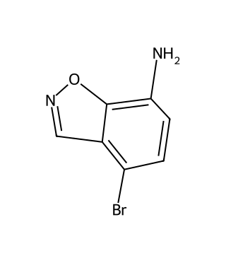 Nc1ccc(Br)c2cnoc12